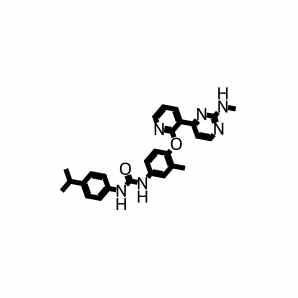 CNc1nccc(-c2cccnc2Oc2ccc(NC(=O)Nc3ccc(C(C)C)cc3)cc2C)n1